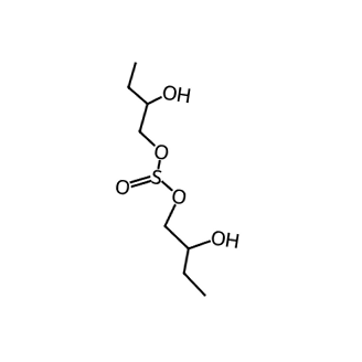 CCC(O)COS(=O)OCC(O)CC